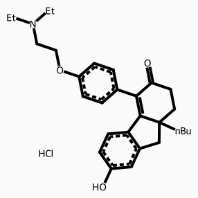 CCCCC12CCC(=O)C(c3ccc(OCCN(CC)CC)cc3)=C1c1ccc(O)cc1C2.Cl